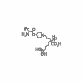 CC(C)C(N)C(=O)OC1CCN(CCCC(N)(CCCCB(O)O)C(=O)O)CC1